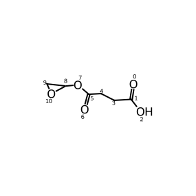 O=C(O)CCC(=O)OC1CO1